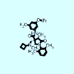 Cc1cccc(C)c1N1C[C@@](CN(C)C2CCC2)(C(=O)Nc2cc(OC(C)C)cc(C(F)(F)F)c2)[C@H](C)C1=O